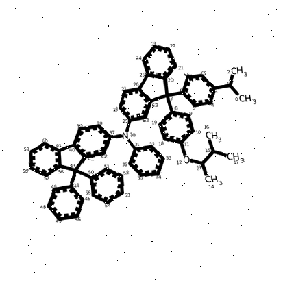 CC(C)c1ccc(C2(c3ccc(OC(C)C(C)C)cc3)c3ccccc3-c3ccc(N(c4ccccc4)c4ccc5c(c4)C(c4ccccc4)(c4ccccc4)c4ccccc4-5)cc32)cc1